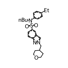 CCCCN(c1ccc(CC)cc1)S(=O)(=O)c1ccc2nn(CC3CCOCC3)cc2c1